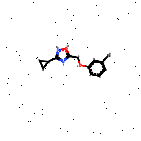 CCc1cccc(OCc2nc(C3CC3)no2)c1